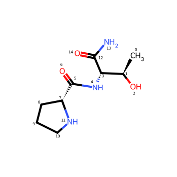 C[C@@H](O)[C@H](NC(=O)[C@H]1CCCN1)C(N)=O